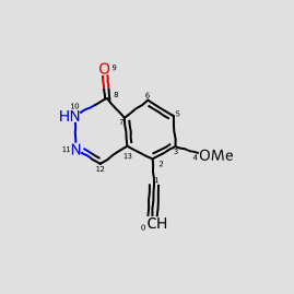 C#Cc1c(OC)ccc2c(=O)[nH]ncc12